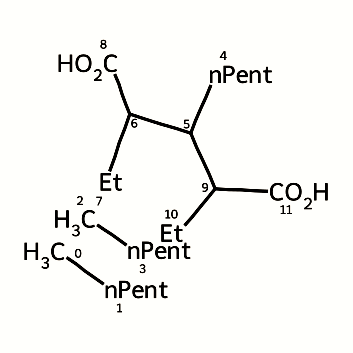 CCCCCC.CCCCCC.CCCCCC(C(CC)C(=O)O)C(CC)C(=O)O